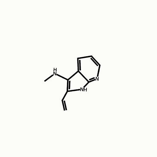 C=Cc1[nH]c2ncccc2c1NC